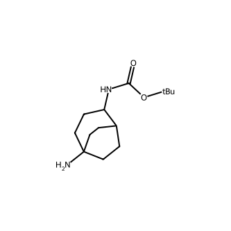 CC(C)(C)OC(=O)NC1CCC2(N)CCC1CC2